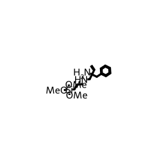 C=CC(N)(CNCCC[Si](OC)(OC)OC)Cc1ccccc1